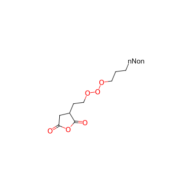 CCCCCCCCCCCCOOOCCC1CC(=O)OC1=O